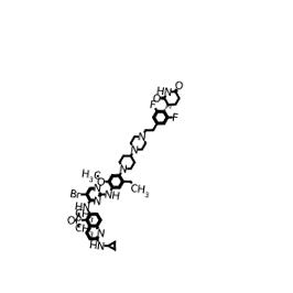 CCc1cc(Nc2ncc(Br)c(Nc3ccc4nc(NC5CC5)ccc4c3P(C)(C)=O)n2)c(OC)cc1N1CCC(N2CCN(CCc3cc(F)c([C@H]4CCC(=O)NC4=O)c(F)c3)CC2)CC1